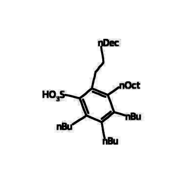 CCCCCCCCCCCCc1c(CCCCCCCC)c(CCCC)c(CCCC)c(CCCC)c1S(=O)(=O)O